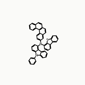 c1ccc(-n2c3ccccc3c3c(N(c4ccc5c(ccc6ccc7ccccc7c65)c4)c4cccc5c4sc4ccccc45)cccc32)cc1